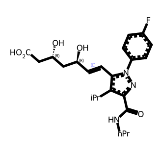 CCCNC(=O)c1nn(-c2ccc(F)cc2)c(/C=C/[C@H](O)C[C@@H](O)CC(=O)O)c1C(C)C